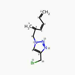 C=C/C=C\C(=C)Cn1cc(CBr)nn1